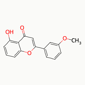 COc1cccc(-c2cc(=O)c3c(O)cccc3o2)c1